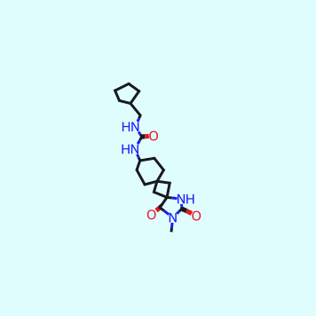 CN1C(=O)NC2(CC3(CCC(NC(=O)NCC4CCCC4)CC3)C2)C1=O